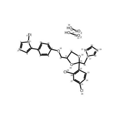 CCn1cncc1-c1ccc(OCC2COC(Cn3cncn3)(c3ccc(Cl)cc3Cl)O2)cc1.O=[N+]([O-])O.O=[N+]([O-])O